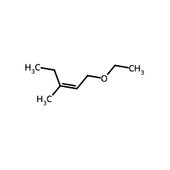 CCOC/C=C(/C)CC